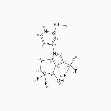 COc1cc(-n2cc(C(F)(F)F)c3c2CCC(F)(F)C3O)ccn1